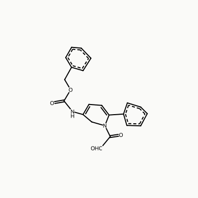 O=CC(=O)N1CC(NC(=O)OCc2ccccc2)=CC=C1c1ccccc1